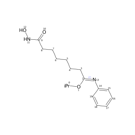 CC(C)O/C(CCCCCCC(=O)NO)=N\c1ccccc1